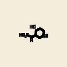 Cl.O=C(O)NC1CCCNC1